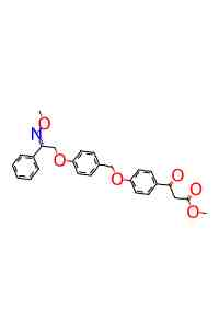 CO/N=C(\COc1ccc(COc2ccc(C(=O)CC(=O)OC)cc2)cc1)c1ccccc1